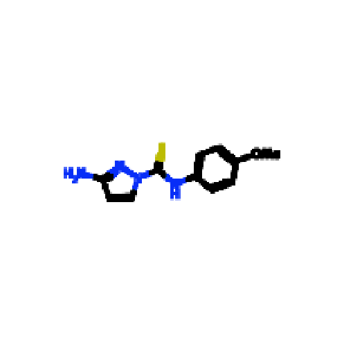 COc1ccc(NC(=S)n2ccc(N)n2)cc1